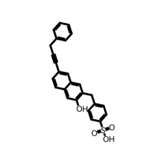 O=S(=O)(O)c1ccc(Cc2cc3cc(C#CCc4ccccc4)ccc3cc2O)cc1